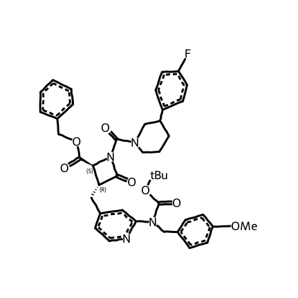 COc1ccc(CN(C(=O)OC(C)(C)C)c2cc(C[C@H]3C(=O)N(C(=O)N4CCCC(c5ccc(F)cc5)C4)[C@@H]3C(=O)OCc3ccccc3)ccn2)cc1